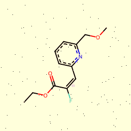 CCOC(=O)/C(F)=C\c1cccc(COC)n1